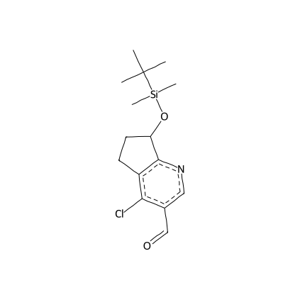 CC(C)(C)[Si](C)(C)OC1CCc2c1ncc(C=O)c2Cl